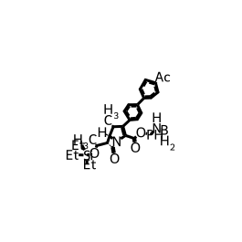 BNPOC(=O)C1=C(c2ccc(-c3ccc(C(C)=O)cc3)cc2)[C@H](C)[C@@H]2[C@@H]([C@@H](C)O[Si](CC)(CC)CC)C(=O)N12